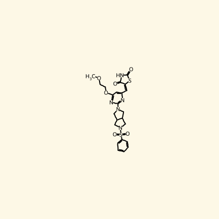 COCCOc1cc(/C=C2/SC(=O)NC2=O)nc(N2CC3CN(S(=O)(=O)c4ccccc4)CC3C2)n1